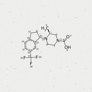 C[C@H]1CN(C(=O)O)CCN1C1CCc2ccc(C(F)(F)F)cc21